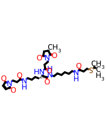 CC(C)SCCC(=O)NCCCCCCNC(=O)[C@H](CCCCNC(=O)CCN1C(=O)C=CC1=O)NC(=O)CCN1C(=O)CC(C)C1=O